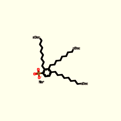 CCCCCCCCCCCCCCCCCCc1ccc(S(=O)(=O)[O-])c(CCCCCCCCCCCCCCCCCC)c1CCCCCCCCCCCCCCCCCC.[Na+]